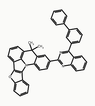 CC1(C)c2cc(-c3nc(-c4cccc(-c5ccccc5)c4)c4ccccc4n3)ccc2-n2c3c1cccc3c1oc3ccccc3c12